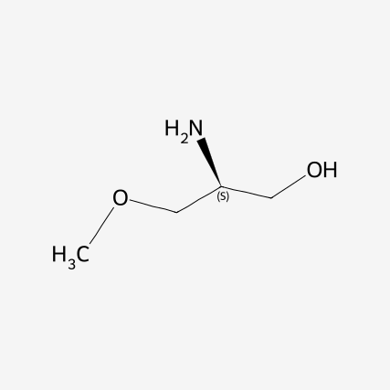 COC[C@@H](N)CO